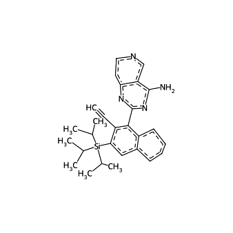 C#Cc1c([Si](C(C)C)(C(C)C)C(C)C)cc2ccccc2c1-c1nc(N)c2cnccc2n1